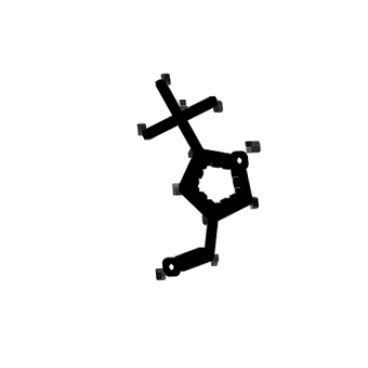 CC(C)(C)c1cc(C=O)co1